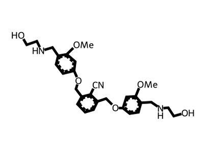 COc1cc(OCc2cccc(COc3ccc(CNCCO)c(OC)c3)c2C#N)ccc1CNCCO